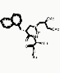 CCCC[C@H](NC(=O)[C@H](Cc1cccc2ccccc12)C[S+]([O-])CC(COC(C)=O)OC(C)=O)C(=O)OC(C)(C)C